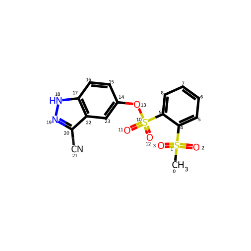 CS(=O)(=O)c1ccccc1S(=O)(=O)Oc1ccc2[nH]nc(C#N)c2c1